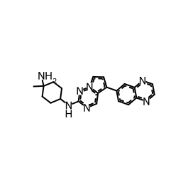 CC1(N)CCC(Nc2ncc3c(-c4ccc5nccnc5c4)ccn3n2)CC1